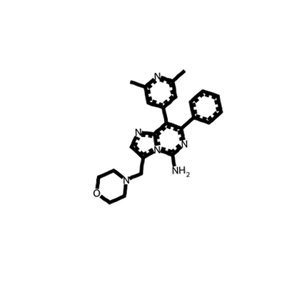 Cc1cc(-c2c(-c3ccccc3)nc(N)n3c(CN4CCOCC4)cnc23)cc(C)n1